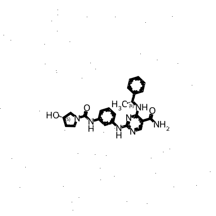 C[C@@H](Nc1nc(Nc2cccc(NC(=O)N3CC[C@H](O)C3)c2)ncc1C(N)=O)c1ccccc1